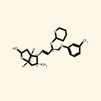 C[C@@H]1C[C@@H]2OC(O)C[C@@H]2[C@H]1/C=C/[C@H](COc1cccc(C(F)(F)F)c1)OC1CCCCO1